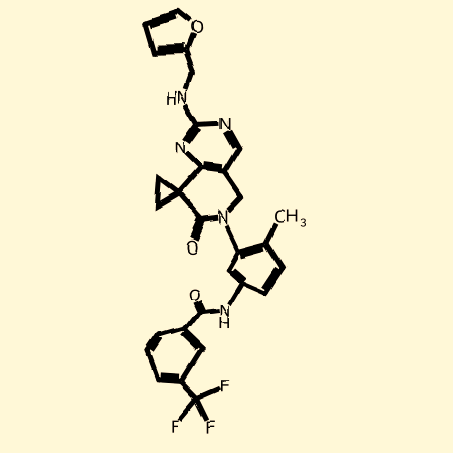 Cc1ccc(NC(=O)c2cccc(C(F)(F)F)c2)cc1N1Cc2cnc(NCc3ccco3)nc2C2(CC2)C1=O